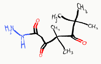 CC(C)(C)C(=O)C(C)(C)C(=O)C(=O)NN